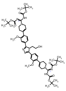 COc1cc(-c2nnc(-c3ccc(C4=CCN(/C(=N\C(=O)OC(C)(C)C)NC(=O)OC(C)(C)C)CC4)c(OC)c3)n2CCO)ccc1C1=CCN(/C(=N\C(=O)OC(C)(C)C)NC(=O)OC(C)(C)C)CC1